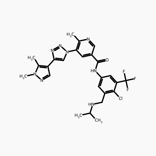 Cc1ncc(C(=O)Nc2cc(CNC(C)C)c(Cl)c(C(F)(F)F)c2)cc1-n1cc(-c2cnn(C)c2C)nn1